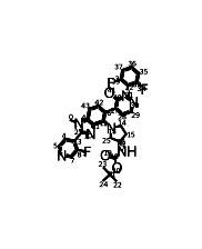 Cn1c(-c2ccncc2F)nc2c(N3CC[C@H](NC(=O)OC(C)(C)C)C3)c(-c3ccnn(-c4c(F)cccc4F)c3=O)ccc21